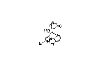 O=C(O)c1cc(Br)nn1-c1ncccc1Cl.O=c1cconc1